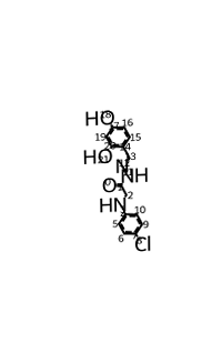 O=C(CNc1ccc(Cl)cc1)N/N=C/c1ccc(O)cc1O